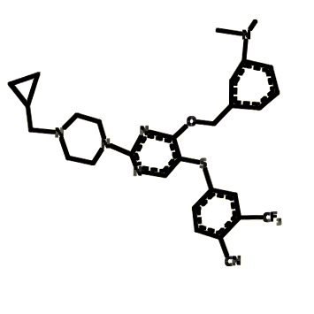 CN(C)c1cccc(COc2nc(N3CCN(CC4CC4)CC3)ncc2Sc2ccc(C#N)c(C(F)(F)F)c2)c1